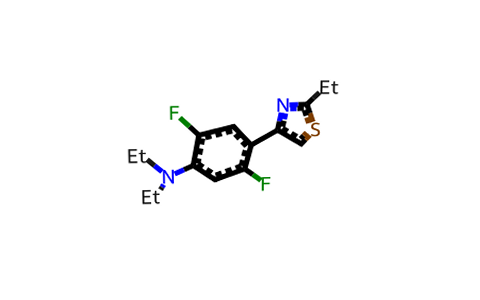 CCc1nc(-c2cc(F)c(N(CC)CC)cc2F)cs1